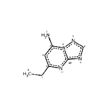 CCc1cc(N)n2ncnc2n1